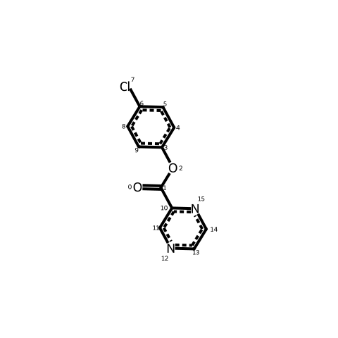 O=C(Oc1ccc(Cl)cc1)c1cnccn1